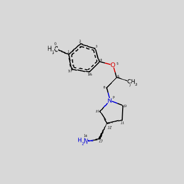 Cc1ccc(OC(C)CN2CC[C@@H](CN)C2)cc1